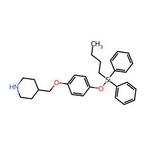 CCCC[Si](Oc1ccc(OCC2CCNCC2)cc1)(c1ccccc1)c1ccccc1